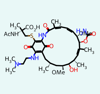 CO[C@H]1C=CC=C(C)C(=O)NC2=C(SC[C@](C)(NC(C)=O)C(=O)O)C(=O)C(NCCN(C)C)=C(C[C@@H](C)C[C@H](OC)[C@H](O)[C@@H](C)C=C(C)[C@@H]1OC(N)=O)C2=O